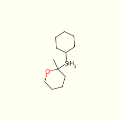 CC1([SiH2]C2CCCCC2)CCCCO1